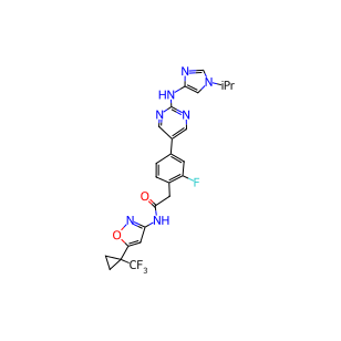 CC(C)n1cnc(Nc2ncc(-c3ccc(CC(=O)Nc4cc(C5(C(F)(F)F)CC5)on4)c(F)c3)cn2)c1